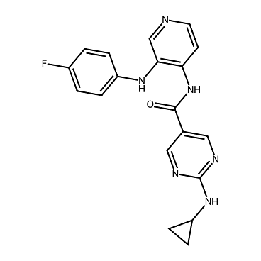 O=C(Nc1ccncc1Nc1ccc(F)cc1)c1cnc(NC2CC2)nc1